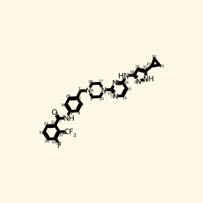 O=C(Nc1ccc(CN2CCN(c3nccc(Nc4cc(C5CC5)[nH]n4)n3)CC2)cc1)c1cccc(F)c1C(F)(F)F